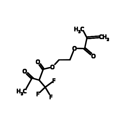 C=C(C)C(=O)OCCOC(=O)C(C(C)=O)C(F)(F)F